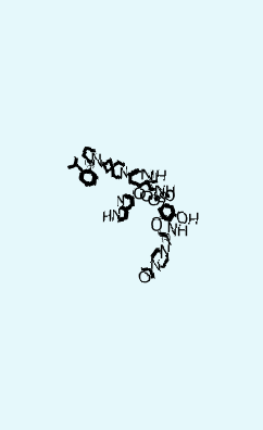 CC(C)c1ccccc1[C@@H]1CCCN1C1CC2(CCN(C3=CNC(C)(C(=O)NS(=O)(=O)c4cc(O)c5c(c4)OC[C@H](CN4CCN(C6COC6)CC4)N5)C(Oc4cnc5[nH]ccc5c4)=C3)CC2)C1